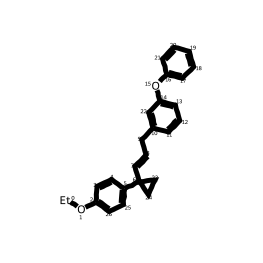 CCOc1ccc(C2(C=CCc3cccc(Oc4ccccc4)c3)CC2)cc1